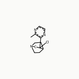 Cc1nccnc1C1(Cl)CN2CCC1CC2